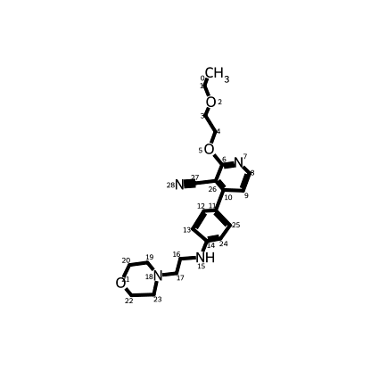 CCOCCOc1nccc(-c2ccc(NCCN3CCOCC3)cc2)c1C#N